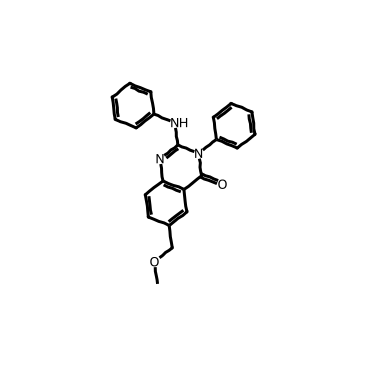 COCc1ccc2nc(Nc3ccccc3)n(-c3ccccc3)c(=O)c2c1